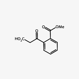 COC(=O)c1ccccc1C(=O)CC(=O)O